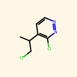 CC(CCl)c1ccnnc1Cl